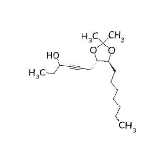 CCCCCCC[C@@H]1OC(C)(C)O[C@H]1CC#CC(O)CC